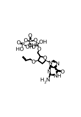 C=CCO[C@@H]1C[C@H](n2cnc3c(=O)[nH]c(N)nc32)OC1COP(=O)(O)OP(=O)(O)OP(=O)(O)O